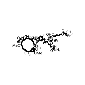 C=C(CBr)C(=O)OCCCCC(C=O)N[C@H](C(=O)N[C@@H](CCCNC(N)=O)C(=O)Nc1cc(F)c(NC(=O)O[C@H]2CC(=O)N(C)c3cc(cc(OC)c3Cl)C/C(C)=C/C=C/[C@@H](OC)[C@@]3(O)C[C@H](OC(=O)N3)[C@@H](C)[C@@H]3O[C@@]23C)cc1F)C(C)C